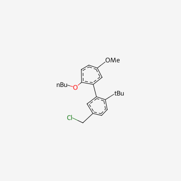 CCCCOc1ccc(OC)cc1-c1cc(CCl)ccc1C(C)(C)C